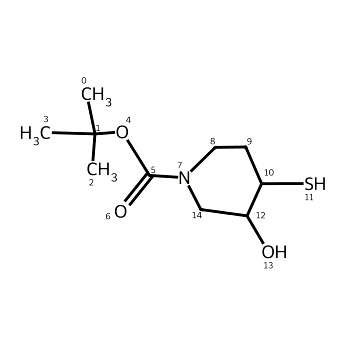 CC(C)(C)OC(=O)N1CCC(S)C(O)C1